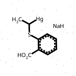 C[CH]([Hg])Sc1ccccc1C(=O)O.[NaH]